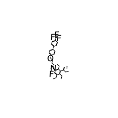 [C]=C(CC)c1c(CC)c(CC)c(F)c(N(C)CCCOc2ccc(-c3ccc(C(F)(F)F)cc3)cc2)c1CC